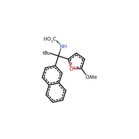 COc1ccc(C(NC(=O)O)(c2ccc3ccccc3c2)C(C)(C)C)o1